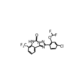 O=c1[nH]c2c(C(F)(F)F)cccc2c2nc(-c3ccc(Cl)cc3OC(F)F)nn12